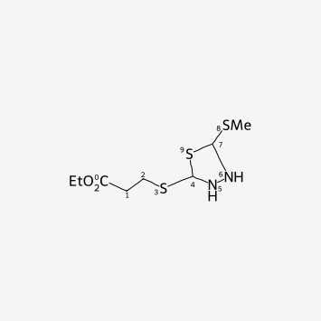 CCOC(=O)CCSC1NNC(SC)S1